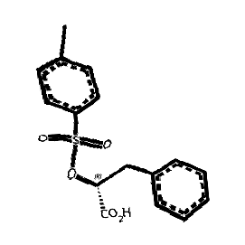 Cc1ccc(S(=O)(=O)O[C@H](Cc2ccccc2)C(=O)O)cc1